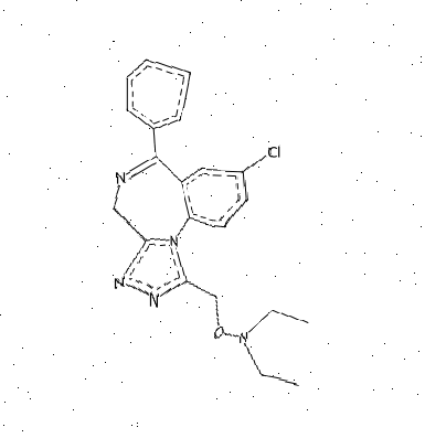 CCN(CC)OCc1nnc2n1-c1ccc(Cl)cc1C(c1ccccc1)=NC2